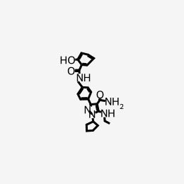 CCNc1c(C(N)=O)c(-c2ccc(CNC(=O)c3ccccc3O)cc2)nn1C1CCCC1